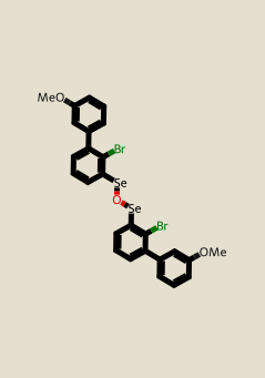 COc1cccc(-c2cccc([Se]O[Se]c3cccc(-c4cccc(OC)c4)c3Br)c2Br)c1